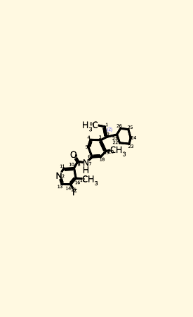 C/C=C(\c1ccc(NC(=O)c2cncc(F)c2C)cc1C)C1CCCCC1